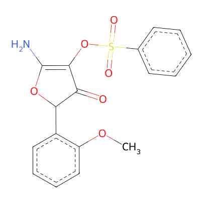 COc1ccccc1C1OC(N)=C(OS(=O)(=O)c2ccccc2)C1=O